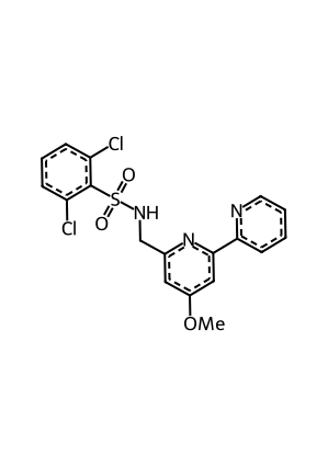 COc1cc(CNS(=O)(=O)c2c(Cl)cccc2Cl)nc(-c2ccccn2)c1